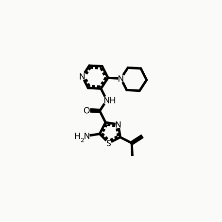 C=C(C)c1nc(C(=O)Nc2cnccc2N2CCCCC2)c(N)s1